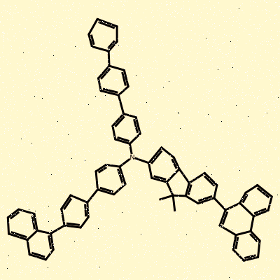 CC1(C)c2cc(-c3cc4ccccc4c4ccccc34)ccc2-c2ccc(N(c3ccc(-c4ccc(-c5ccccc5)cc4)cc3)c3ccc(-c4ccc(-c5cccc6ccccc56)cc4)cc3)cc21